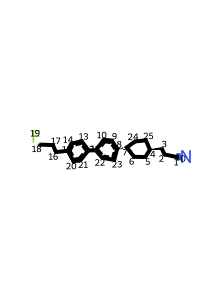 N#CCC[C@H]1CC[C@H](c2ccc(-c3ccc(CCCF)cc3)cc2)CC1